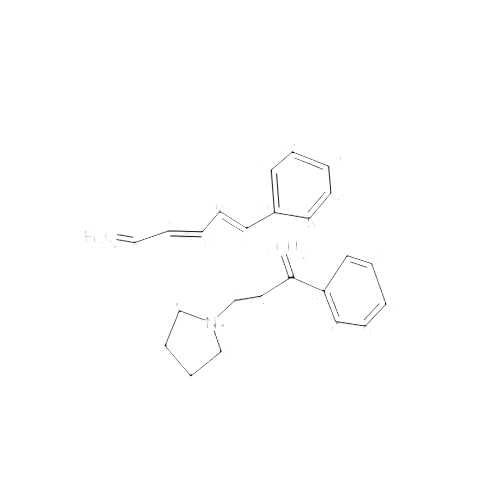 C=C(CCN1CCCC1)c1ccccc1.C=CC=CC=Cc1ccccc1